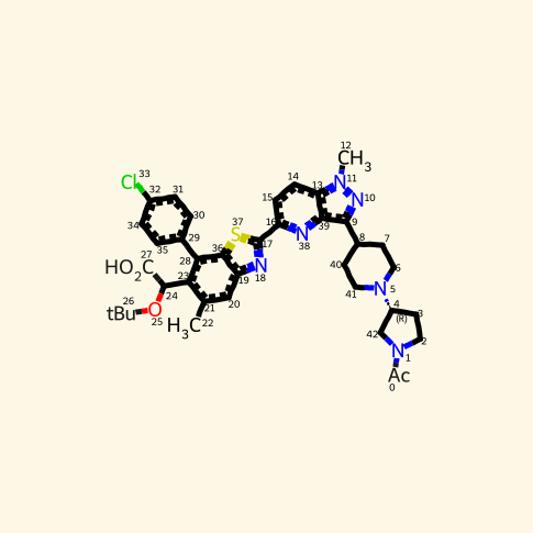 CC(=O)N1CC[C@@H](N2CCC(c3nn(C)c4ccc(-c5nc6cc(C)c(C(OC(C)(C)C)C(=O)O)c(-c7ccc(Cl)cc7)c6s5)nc34)CC2)C1